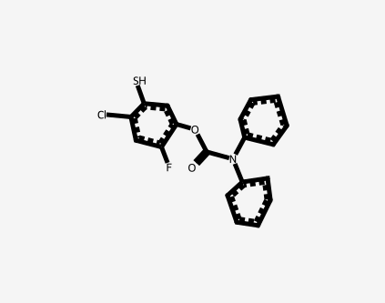 O=C(Oc1cc(S)c(Cl)cc1F)N(c1ccccc1)c1ccccc1